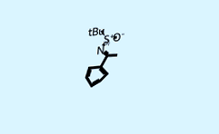 CC(=N[S@+]([O-])C(C)(C)C)c1ccccc1